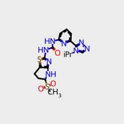 CC(C)n1cnnc1-c1cccc(NC(=O)Nc2nc3c(s2)CCC(S(C)(=O)=O)N3)n1